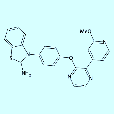 COc1cc(-c2nccnc2Oc2ccc(N3c4ccccc4SC3N)cc2)ccn1